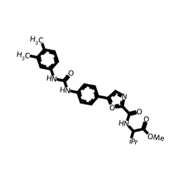 COC(=O)C(NC(=O)c1ncc(-c2ccc(NC(=O)Nc3ccc(C)c(C)c3)cc2)o1)C(C)C